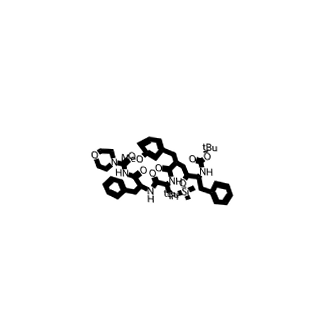 COc1cccc(CC(CC(O[Si](C)(C)C(C)(C)C)C(Cc2ccccc2)NC(=O)OC(C)(C)C)C(=O)NC(C(=O)NC(Cc2ccccc2)C(=O)NC(=O)N2CCOCC2)C(C)C)c1